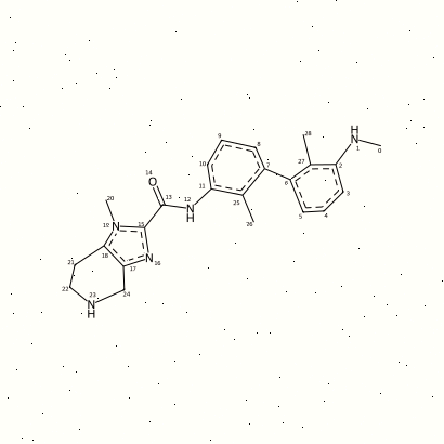 CNc1cccc(-c2cccc(NC(=O)c3nc4c(n3C)CCNC4)c2C)c1C